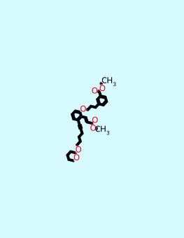 CCOC(=O)c1cccc(CCCOc2cccc(C#CCCCCOC3CCCCO3)c2/C=C/C(=O)OC)c1